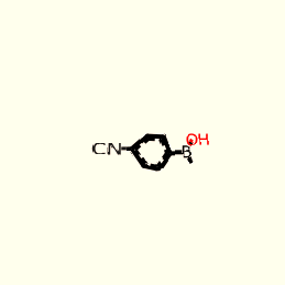 [C-]#[N+]c1ccc(B(C)O)cc1